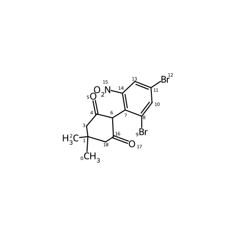 CC1(C)CC(=O)C(c2c(Br)cc(Br)cc2[N+](=O)[O-])C(=O)C1